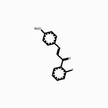 COc1ccc(C=CC(=O)c2ccccc2F)cc1